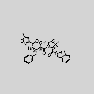 Cc1cc(C(=O)N[C@@H](Cc2ccccc2)[C@H](O)C(=O)N2CSC(C)(C)[C@H]2C(=O)NCc2ccccc2C)no1